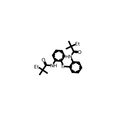 CCC(C)(C)C(=O)Nc1cccc[c]1[Ti][c]1ccccc1NC(=O)C(C)(C)CC